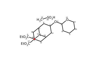 CCOC(=O)CN1C2CC(OC3CCCCO3)CC1CC(C(=O)OCC)C2.CS(=O)(=O)O